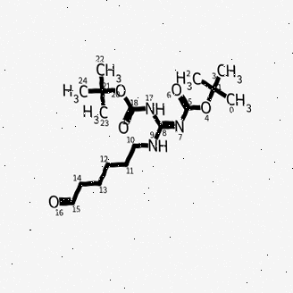 CC(C)(C)OC(=O)N=C(NCCCCCC=O)NC(=O)OC(C)(C)C